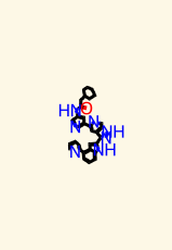 O=C(CC1CCCCC1)Nc1cncc(-c2cc3c(-c4cc5c(-c6ccccn6)cccc5[nH]4)n[nH]c3cn2)c1